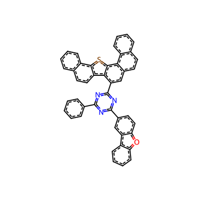 c1ccc(-c2nc(-c3ccc4oc5ccccc5c4c3)nc(-c3cc4ccc5ccccc5c4c4sc5c6ccccc6ccc5c34)n2)cc1